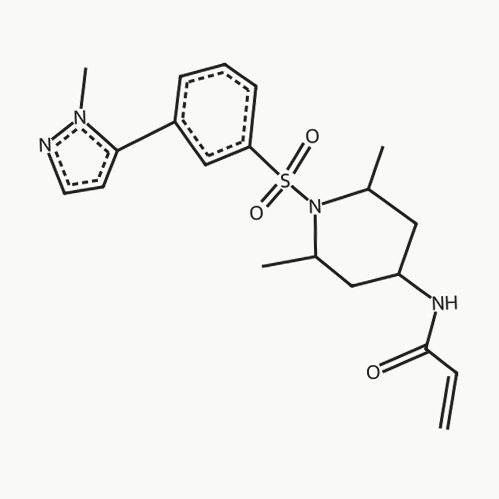 C=CC(=O)NC1CC(C)N(S(=O)(=O)c2cccc(-c3ccnn3C)c2)C(C)C1